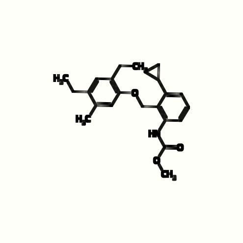 CCc1cc(CC)c(OCc2c(NC(=O)OC)cccc2C2CC2)cc1C